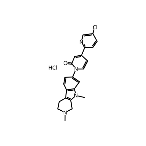 CN1CCc2c(n(C)c3cc(-n4ccc(-c5ccc(Cl)cn5)cc4=O)ccc23)C1.Cl